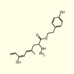 C=C/C(O)=C\C=C(/C)CC(NP)C(=O)OCCc1ccc(O)cc1